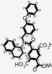 COC(=O)c1cc(C(=O)O)c(C(=O)N(Cc2cccc(Oc3ccccc3)c2)[C@H]2CCCc3ccccc32)cc1C(=O)O